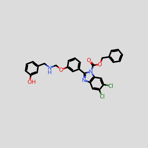 O=C(OCc1ccccc1)n1c(-c2cccc(OCNCc3cccc(O)c3)c2)nc2cc(Cl)c(Cl)cc21